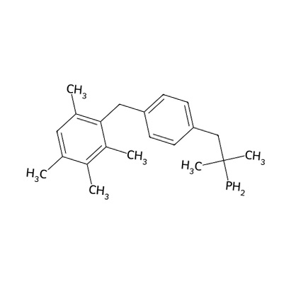 Cc1cc(C)c(Cc2ccc(CC(C)(C)P)cc2)c(C)c1C